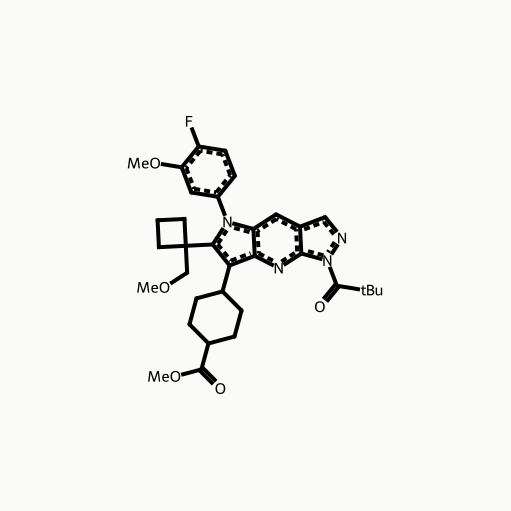 COCC1(c2c(C3CCC(C(=O)OC)CC3)c3nc4c(cnn4C(=O)C(C)(C)C)cc3n2-c2ccc(F)c(OC)c2)CCC1